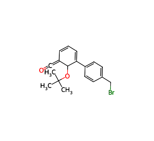 CC(C)(C)OC1C(=C=O)C=CC=C1c1ccc(CBr)cc1